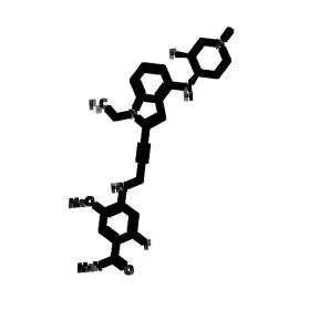 CNC(=O)c1cc(OC)c(NCC#Cc2cc3c(N[C@@H]4CCN(C)C[C@@H]4F)cccc3n2CC(F)(F)F)cc1F